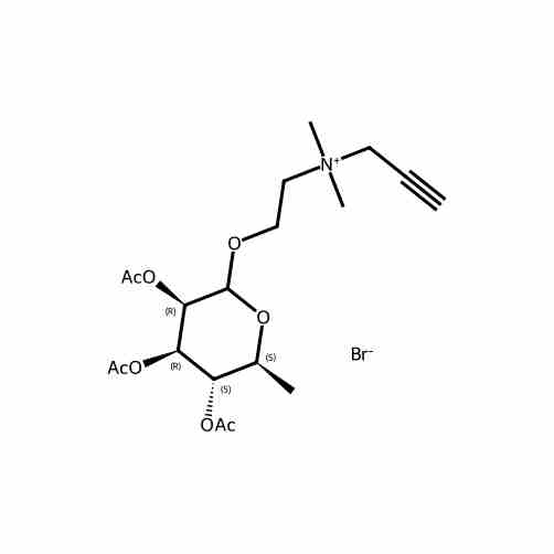 C#CC[N+](C)(C)CCOC1O[C@@H](C)[C@H](OC(C)=O)[C@@H](OC(C)=O)[C@H]1OC(C)=O.[Br-]